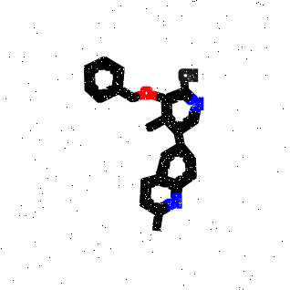 Cc1ccc2cc(-c3cnc(C#N)c(OCc4ccccc4)c3C)ccc2n1